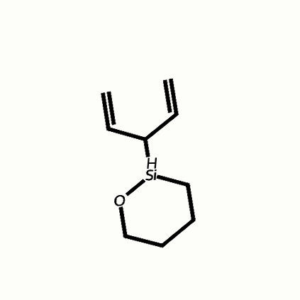 C=CC(C=C)[SiH]1CCCCO1